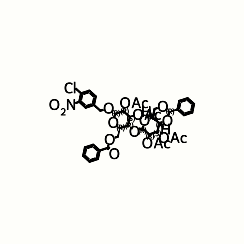 CC(=O)O[C@@H]1[C@@H](OC(C)=O)[C@@H](O[C@H]2[C@H](OC(C)=O)[C@@H](OC(C)=O)[C@H](OCc3ccc(Cl)c([N+](=O)[O-])c3)O[C@@H]2COC(=O)c2ccccc2)O[C@@H]2CO[C@@H](c3ccccc3)O[C@@H]12